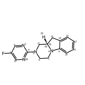 Fc1cnc(N2CCN3c4ccccc4C[C@H]3C2)nc1